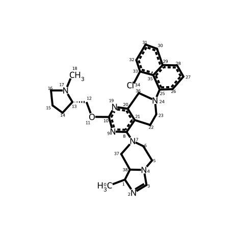 CC1N=CN2CCN(c3nc(OC[C@@H]4CCCN4C)nc4c3CCN(c3cccc5cccc(Cl)c35)C4)CC12